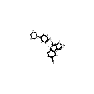 Brc1ccc2nc(Nc3ccc(N4CCCCC4)cc3)c3n[nH]cc3c2c1